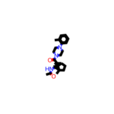 CC(=O)NC1C(C(=O)N2CCN(c3ccccc3C)CC2)C2CCC1(C)C2(C)C